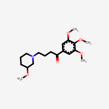 COc1cc(C(=O)CCCN2CC[CH]C(OC)C2)cc(OC)c1OC